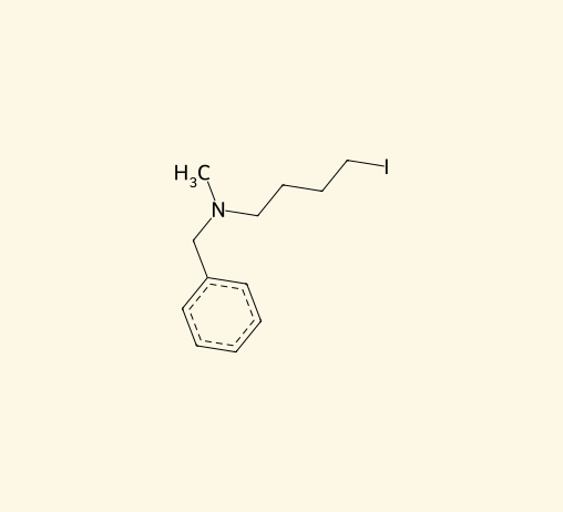 CN(CCCCI)Cc1ccccc1